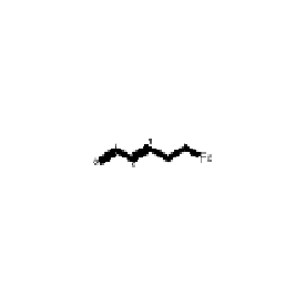 C=CC=CCCF